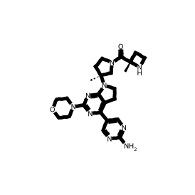 C[C@]1(N2CCc3c(-c4cnc(N)nc4)nc(N4CCOCC4)nc32)CCN(C(=O)[C@]2(C)CCN2)C1